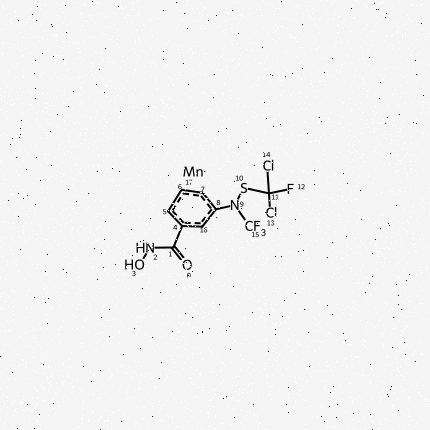 O=C(NO)c1cccc(N(SC(F)(Cl)Cl)C(F)(F)F)c1.[Mn]